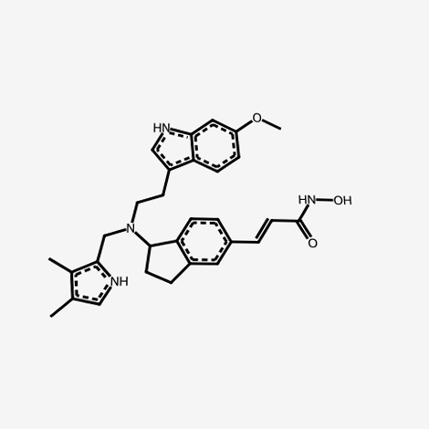 COc1ccc2c(CCN(Cc3[nH]cc(C)c3C)C3CCc4cc(C=CC(=O)NO)ccc43)c[nH]c2c1